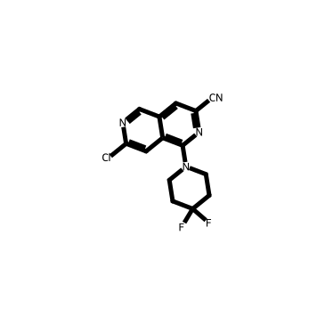 N#Cc1cc2cnc(Cl)cc2c(N2CCC(F)(F)CC2)n1